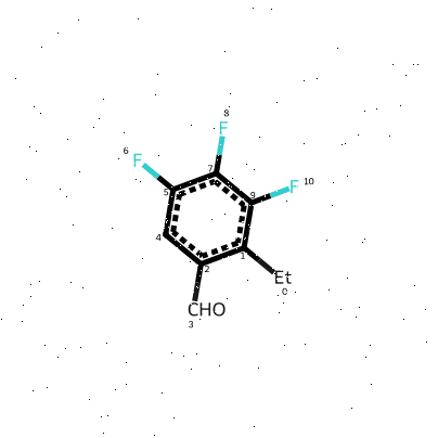 CCc1c(C=O)cc(F)c(F)c1F